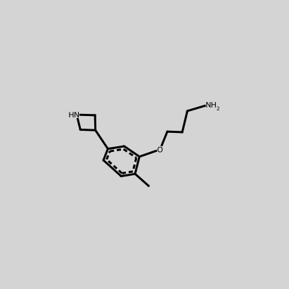 Cc1ccc(C2CNC2)cc1OCCCN